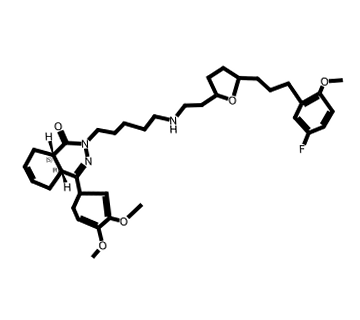 COC1=CCC(C2=NN(CCCCCNCCC3CCC(CCCc4cc(F)ccc4OC)O3)C(=O)[C@H]3CC=CC[C@@H]23)C=C1OC